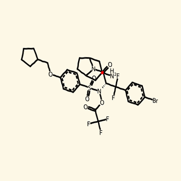 NC1CC2CCC(C1)N2C(=O)[C@@H](N(OC(=O)C(F)(F)F)S(=O)(=O)c1ccc(OCC2CCCC2)cc1)C(F)(F)c1ccc(Br)cc1